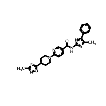 Cc1noc(C2CCN(c3ccc(C(=O)Nc4nc(-c5ccccc5)c(C)s4)cn3)CC2)n1